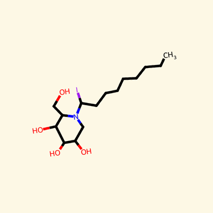 CCCCCCCCC(I)N1CC(O)C(O)C(O)C1CO